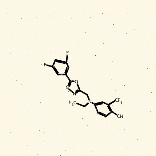 N#Cc1ccc(N(Cc2nnc(-c3cc(F)cc(F)c3)o2)CC(F)(F)F)cc1C(F)(F)F